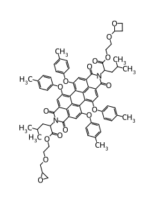 Cc1ccc(Oc2cc3c4c(cc(Oc5ccc(C)cc5)c5c6c(Oc7ccc(C)cc7)cc7c8c(cc(Oc9ccc(C)cc9)c(c2c45)c86)C(=O)N(C(CC(C)C)C(=O)OCCOC2CCO2)C7=O)C(=O)N(C(CC(C)C)C(=O)OCCOCC2CO2)C3=O)cc1